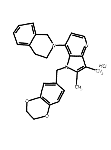 Cc1c(C)n(Cc2ccc3c(c2)OCCO3)c2c(N3CCc4ccccc4C3)ccnc12.Cl